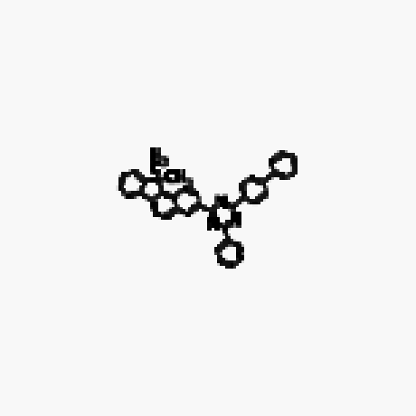 CC1(C)c2ccccc2-c2ccc3cc(-c4nc(-c5ccccc5)nc(-c5ccc(-c6ccccc6)cc5)n4)ccc3c21